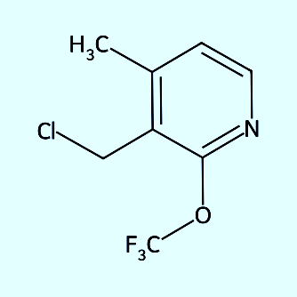 Cc1ccnc(OC(F)(F)F)c1CCl